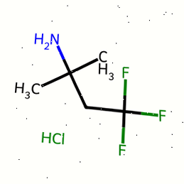 CC(C)(N)CC(F)(F)F.Cl